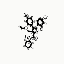 CCOCc1c(C(=O)NC2CCCCC2)nn(-c2ccc(Cl)cc2Cl)c1-c1ccc(Br)cc1